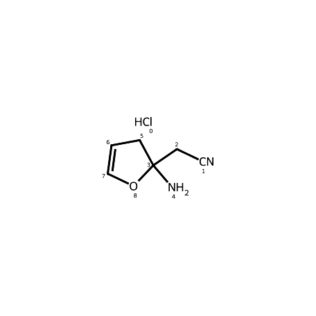 Cl.N#CCC1(N)CC=CO1